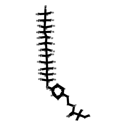 CCC(C)(C)C(=O)OCCc1ccc(OC(F)(F)C(F)(F)C(F)(F)C(F)(F)C(F)(F)C(F)(F)C(F)(F)C(F)(F)C(F)(F)C(F)(F)C(F)(F)C(F)(F)F)cc1